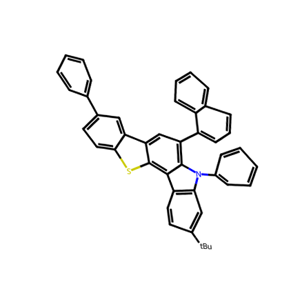 CC(C)(C)c1ccc2c3c4sc5ccc(-c6ccccc6)cc5c4cc(-c4cccc5ccccc45)c3n(-c3ccccc3)c2c1